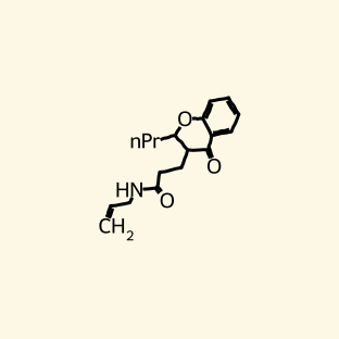 C=CCNC(=O)CCC1C(=O)c2ccccc2OC1CCC